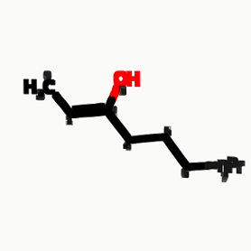 CC=C(O)CCCCCC